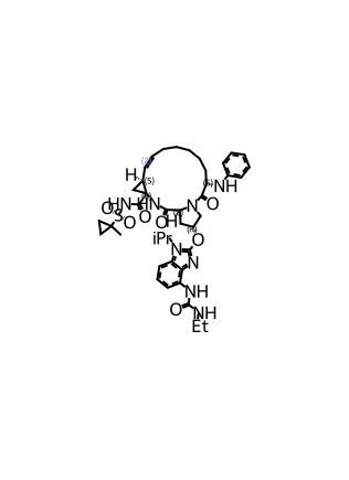 CCNC(=O)Nc1cccc2c1nc(O[C@@H]1C[C@H]3C(=O)N[C@]4(C(=O)NS(=O)(=O)C5(C)CC5)C[C@H]4/C=C\CCCCC[C@H](Nc4ccccc4)C(=O)N3C1)n2C(C)C